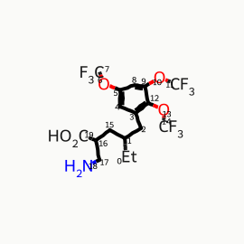 CCC(Cc1cc(OC(F)(F)F)cc(OC(F)(F)F)c1OC(F)(F)F)CC(CN)C(=O)O